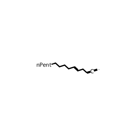 [CH]=C=CCC=CCCCCCCCCC